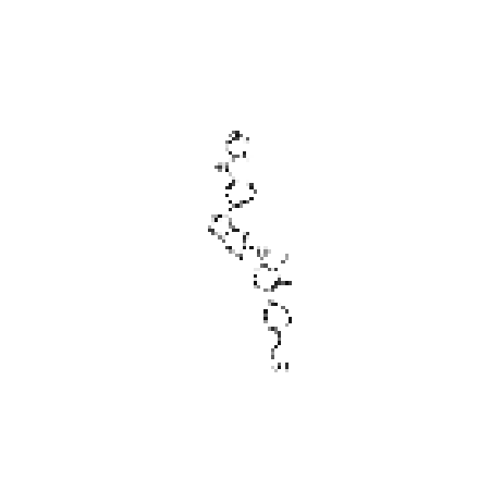 C=CC(=O)Nc1cccc(-c2ncc3cnc(Nc4ccc(N5CCN(CCO)CC5)c(F)c4F)cn23)c1